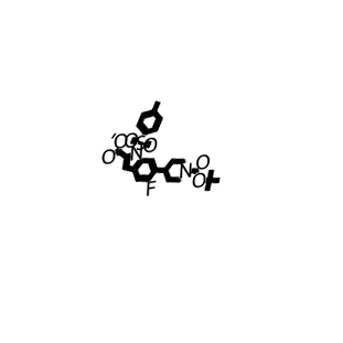 COC(=O)c1cc2cc(F)c(C3CCN(C(=O)OC(C)(C)C)CC3)cc2n1S(=O)(=O)c1ccc(C)cc1